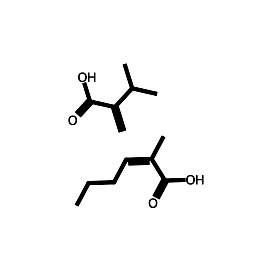 C=C(C(=O)O)C(C)C.CCCC=C(C)C(=O)O